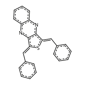 C(c1ccccc1)=c1sc(=Cc2ccccc2)c2nc3ccccc3nc12